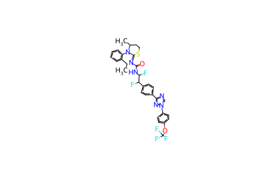 CCc1ccccc1N1/C(=N/C(=O)NC(F)C(F)c2ccc(-c3ncn(-c4ccc(OC(F)(F)F)cc4)n3)cc2)SCCC1C